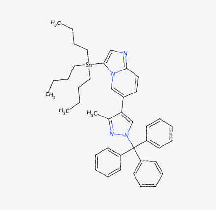 CCC[CH2][Sn]([CH2]CCC)([CH2]CCC)[c]1cnc2ccc(-c3cn(C(c4ccccc4)(c4ccccc4)c4ccccc4)nc3C)cn12